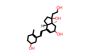 CC1=C(/C=C/C2=C[C@H](O)C[C@@]3(C)[C@H]2CC[C@]3(O)CCO)C[C@@H](O)CC1